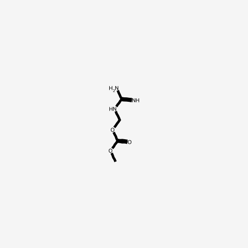 COC(=O)OCNC(=N)N